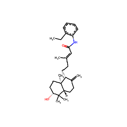 C=C1CC[C@@H]2C(C)(C)[C@H](O)CC[C@@]2(C)[C@@H]1CC/C(C)=C/C(=O)Nc1ccccc1CC